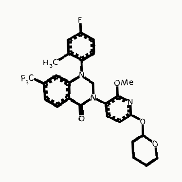 COc1nc(OC2CCCCO2)ccc1N1CN(c2ccc(F)cc2C)c2cc(C(F)(F)F)ccc2C1=O